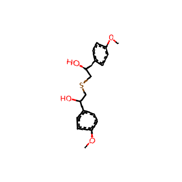 COc1ccc(C(O)CSCC(O)c2ccc(OC)cc2)cc1